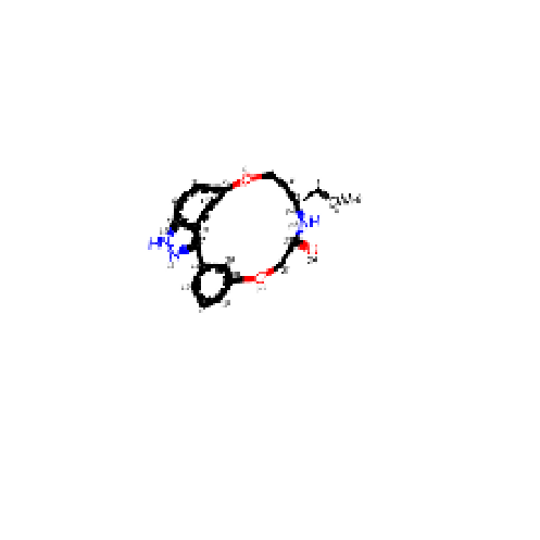 COC[C@@H]1CCOc2ccc3[nH]nc(c3c2)-c2cccc(c2)OCC(=O)N1